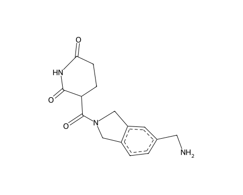 NCc1ccc2c(c1)CN(C(=O)C1CCC(=O)NC1=O)C2